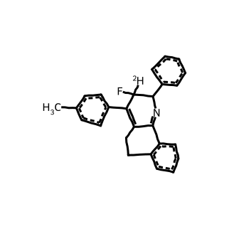 [2H]C1(F)C(c2ccc(C)cc2)=C2CCc3ccccc3C2=NC1c1ccccc1